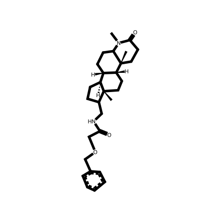 CN1C(=O)CC[C@@]2(C)C1CC[C@@H]1[C@H]2CC[C@]2(C)C(CNC(=O)COCc3ccccc3)CC[C@@H]12